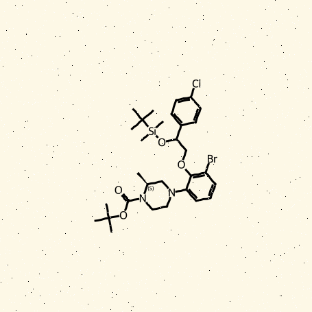 C[C@H]1CN(c2cccc(Br)c2OCC(O[Si](C)(C)C(C)(C)C)c2ccc(Cl)cc2)CCN1C(=O)OC(C)(C)C